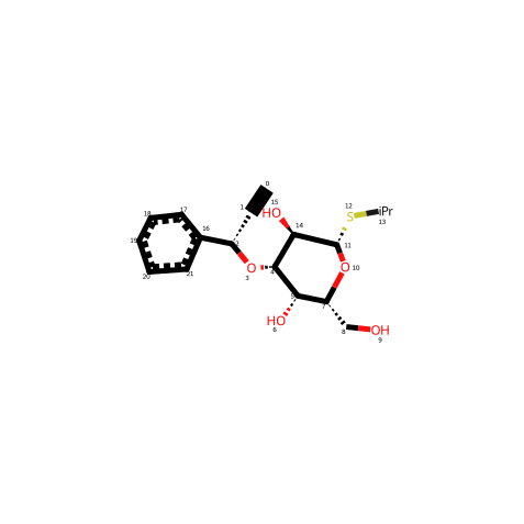 C#C[C@H](O[C@H]1[C@@H](O)[C@@H](CO)O[C@@H](SC(C)C)[C@@H]1O)c1ccccc1